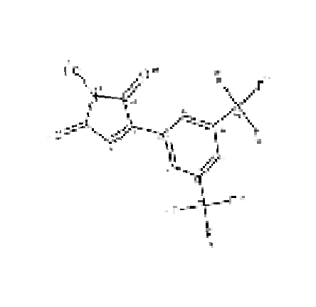 O=C1C=C(c2cc(C(F)(F)F)cc(C(F)(F)F)c2)C(=O)N1O